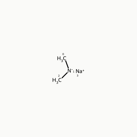 C[N-]C.[Na+]